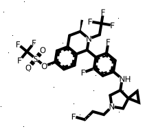 C[C@@H]1Cc2cc(OS(=O)(=O)C(F)(F)F)ccc2C(c2c(F)cc(NC3CN(CCCF)CC34CC4)cc2F)N1CC(F)(F)F